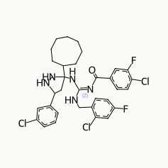 O=C(/N=C(/NCc1ccc(F)cc1Cl)NC1(C2CCCCCCC2)CC(c2cccc(Cl)c2)NN1)c1ccc(Cl)c(F)c1